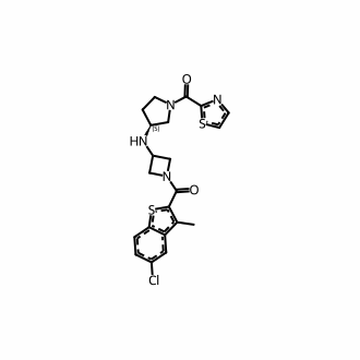 Cc1c(C(=O)N2CC(N[C@H]3CCN(C(=O)c4nccs4)C3)C2)sc2ccc(Cl)cc12